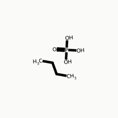 CCCC.O=P(O)(O)O